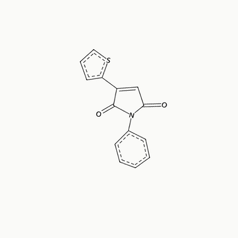 O=C1C=C(c2cccs2)C(=O)N1c1ccccc1